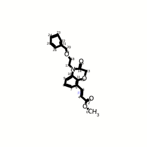 COC(=O)/C=C/c1cccc2c1OCC(=O)N2CCOCc1ccccc1